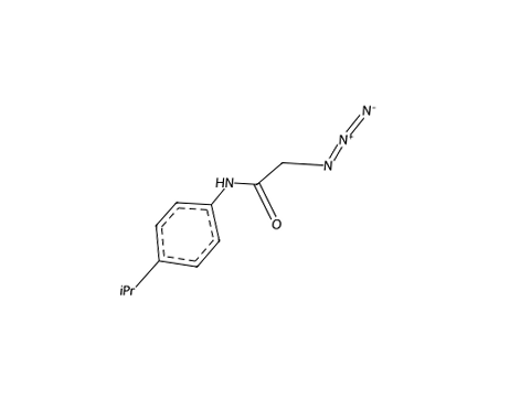 CC(C)c1ccc(NC(=O)CN=[N+]=[N-])cc1